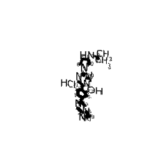 CC(C)NC1CCN(c2ncc(-c3ccc(-c4cn5ccnc5cn4)cc3O)nn2)C1.Cl